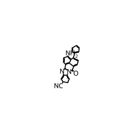 N#CC1C=c2nc3c4ccc(N)c5c(-c6ccccc6)ccc(c(=O)n3c2=CC1)c54